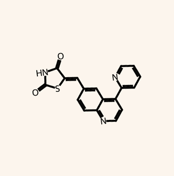 O=C1NC(=O)/C(=C/c2ccc3nccc(-c4ccccn4)c3c2)S1